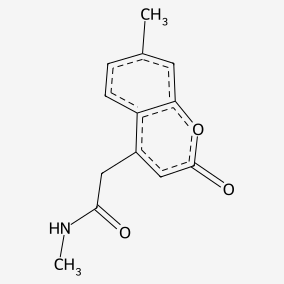 CNC(=O)Cc1cc(=O)oc2cc(C)ccc12